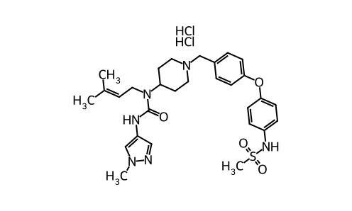 CC(C)=CCN(C(=O)Nc1cnn(C)c1)C1CCN(Cc2ccc(Oc3ccc(NS(C)(=O)=O)cc3)cc2)CC1.Cl.Cl